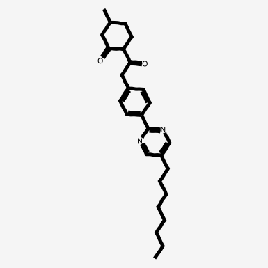 CCCCCCCCc1cnc(-c2ccc(CC(=O)C3CCC(C)CC3=O)cc2)nc1